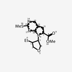 CCC1COCC1n1c(C(=O)OC)cc2cnc(SC)nc21